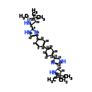 C[C@H]1N[C@H](c2nc(-c3ccc(-c4ccc(-c5c[nH]c([C@@H]6CC(C)(C)[C@@H](C)N6)n5)cc4)cc3)c[nH]2)CC1(C)C